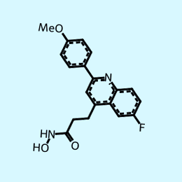 COc1ccc(-c2cc(CCC(=O)NO)c3cc(F)ccc3n2)cc1